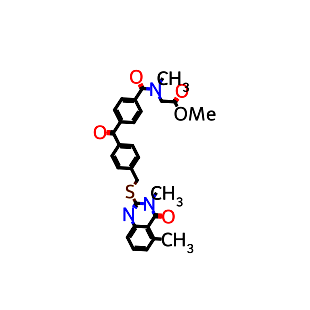 COC(=O)CN(C)C(=O)c1ccc(C(=O)c2ccc(CSc3nc4cccc(C)c4c(=O)n3C)cc2)cc1